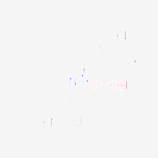 Cc1ccc(-c2cc(CC(C(=O)O)c3cccc(Cl)c3Cl)nn2-c2ccc(Cl)c(Cl)c2)cc1